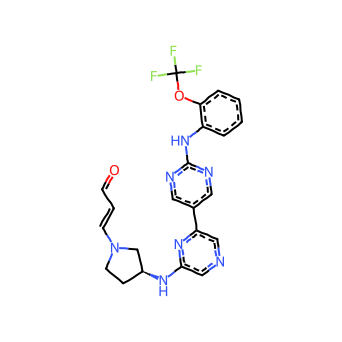 O=CC=CN1CC[C@H](Nc2cncc(-c3cnc(Nc4ccccc4OC(F)(F)F)nc3)n2)C1